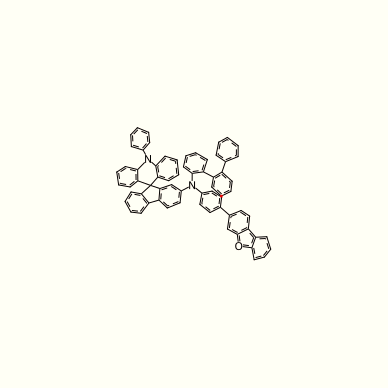 c1ccc(-c2ccccc2-c2ccccc2N(c2ccc(-c3ccc4c(c3)oc3ccccc34)cc2)c2ccc3c(c2)C2(c4ccccc4-3)c3ccccc3N(c3ccccc3)c3ccccc32)cc1